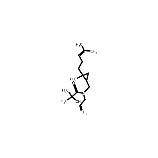 C=CCN(CC1CC1(C)CCC=C(C)C)C(=O)C(C)(C)C